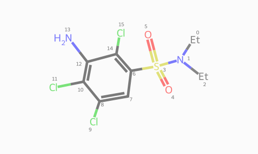 CCN(CC)S(=O)(=O)c1cc(Cl)c(Cl)c(N)c1Cl